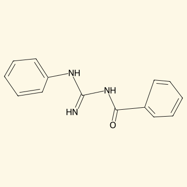 N=C(NC(=O)c1ccccc1)Nc1ccccc1